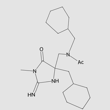 CC(=O)N(CC1CCCCC1)CC1(CC2CCCCC2)NC(=N)N(C)C1=O